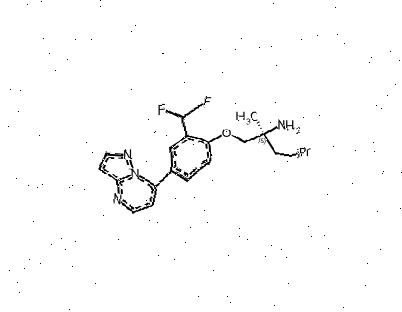 CC(C)C[C@](C)(N)COc1ccc(-c2ccnc3ccnn23)cc1C(F)F